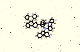 c1ccc(-c2c(-c3ccccc3)c3cc(-c4cccc(N(c5cc6ccccc6c6ccccc56)c5cccc6c7ccccc7n(-c7ccccc7)c56)c4)ccc3c3ccccc23)cc1